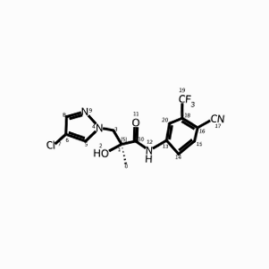 C[C@](O)(Cn1cc(Cl)cn1)C(=O)Nc1ccc(C#N)c(C(F)(F)F)c1